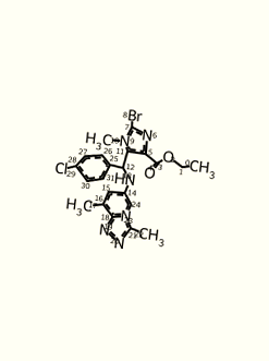 CCOC(=O)c1nc(Br)n(C)c1C(Nc1cc(C)c2nnc(C)n2c1)c1ccc(Cl)cc1